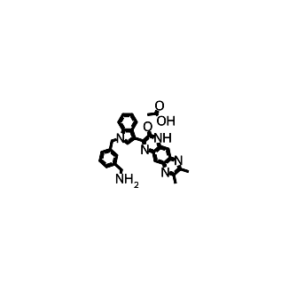 CC(=O)O.Cc1nc2cc3nc(-c4cn(Cc5cccc(CN)c5)c5ccccc45)c(=O)[nH]c3cc2nc1C